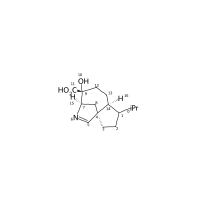 CC(C)C1CC[C@]23C=N[C@H](C2)[C@@](O)(C(=O)O)CC[C@@H]13